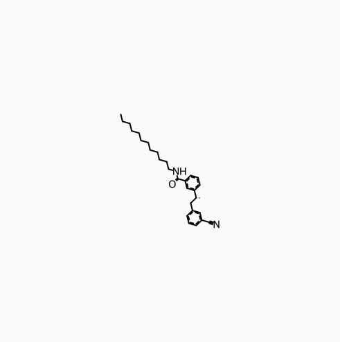 CCCCCCCCCCCCNC(=O)c1cccc([CH]Cc2cccc(C#N)c2)c1